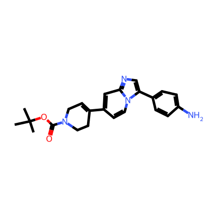 CC(C)(C)OC(=O)N1CC=C(c2ccn3c(-c4ccc(N)cc4)cnc3c2)CC1